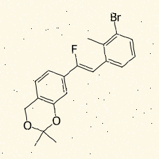 Cc1c(Br)cccc1C=C(F)c1ccc2c(c1)OC(C)(C)OC2